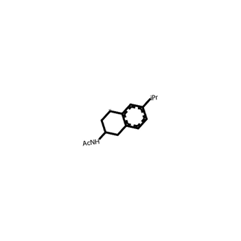 CC(=O)NC1C[C]c2cc(C(C)C)ccc2C1